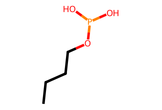 CCCCOP(O)O